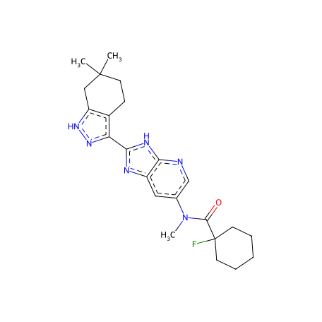 CN(C(=O)C1(F)CCCCC1)c1cnc2[nH]c(-c3n[nH]c4c3CCC(C)(C)C4)nc2c1